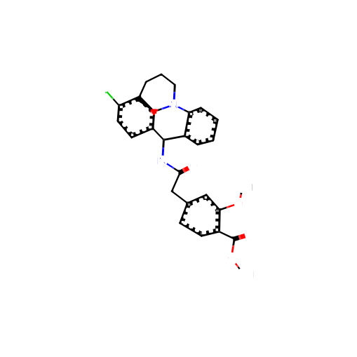 COC(=O)c1ccc(CC(=O)NC(c2ccc(Cl)cc2)c2ccccc2N2CCCCC2)cc1OC